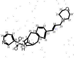 O=S(=O)(NC1C2CCC1Cc1cc(/C=C/CN3CCOCC3)ccc1C2)c1cccnc1